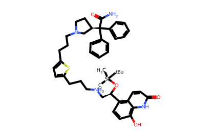 CC(C)(C)[Si](C)(C)O[C@H](CNCCCc1ccc(CCCN2CC[C@@H](C(C(N)=O)(c3ccccc3)c3ccccc3)C2)s1)c1ccc(O)c2[nH]c(=O)ccc12